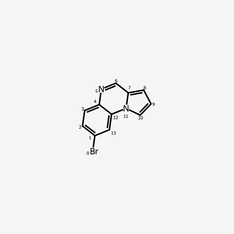 Brc1ccc2ncc3cccn3c2c1